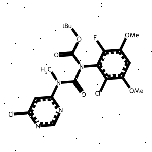 COc1cc(OC)c(Cl)c(N(C(=O)OC(C)(C)C)C(=O)N(C)c2cc(Cl)ncn2)c1F